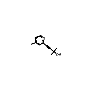 Cc1ccnc(C#CC(C)(C)O)c1